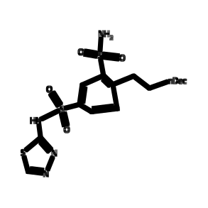 CCCCCCCCCCCCc1ccc(S(=O)(=O)Nc2nncs2)cc1S(N)(=O)=O